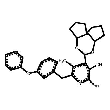 CCCc1nc(Cc2cccc(Oc3ccccc3)c2)c(C)c(C(OC2CCCC2)OC2CCCC2)c1O